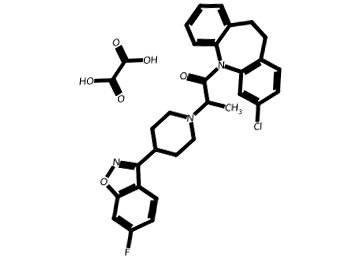 CC(C(=O)N1c2ccccc2CCc2ccc(Cl)cc21)N1CCC(c2noc3cc(F)ccc23)CC1.O=C(O)C(=O)O